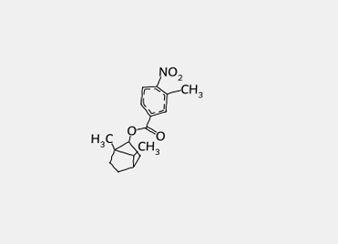 Cc1cc(C(=O)OC2CC3CCC2(C)C3C)ccc1[N+](=O)[O-]